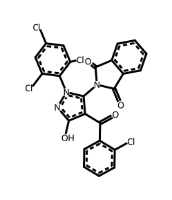 O=C(c1ccccc1Cl)c1c(O)nn(-c2c(Cl)cc(Cl)cc2Cl)c1N1C(=O)c2ccccc2C1=O